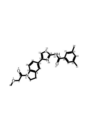 COCC(=O)N1CCc2cc(-c3csc(NC(=O)c4cc(C)cc(C)c4)n3)ccc21